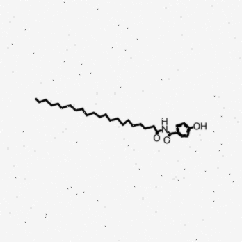 CCCCCCCCCCCCCCCCCCCCCC(=O)NC(=O)c1ccc(O)cc1